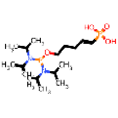 CC(C)N(C(C)C)P(OCCC/C=C/P(=O)(O)O)N(C(C)C)C(C)C